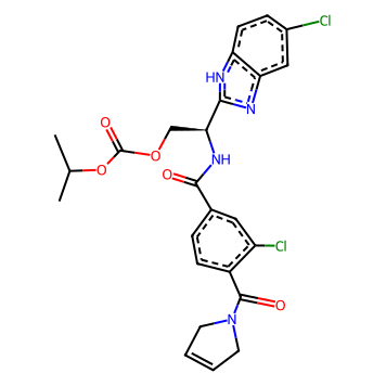 CC(C)OC(=O)OC[C@H](NC(=O)c1ccc(C(=O)N2CC=CC2)c(Cl)c1)c1nc2cc(Cl)ccc2[nH]1